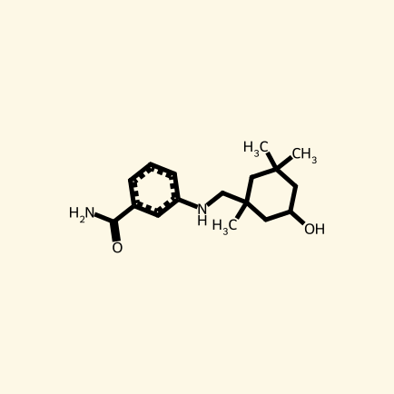 CC1(C)CC(O)CC(C)(CNc2cccc(C(N)=O)c2)C1